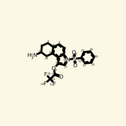 NC1CCc2ccc3c(c(OC(=O)C(F)(F)F)cn3S(=O)(=O)c3ccccc3)c2C1